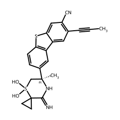 CC#Cc1cc2c(cc1C#N)sc1ccc([C@]3(C)CS(O)(O)C4(CC4)C(=N)N3)cc12